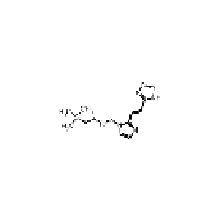 C[Si](C)(C)CCOCn1ccnc1C=Cc1nnn[nH]1